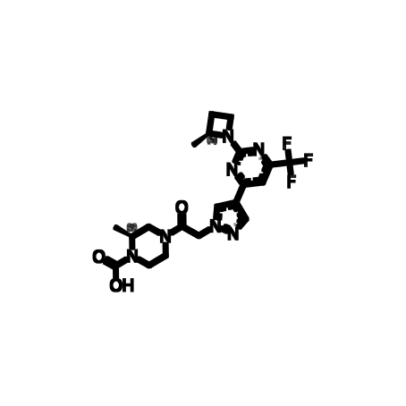 C[C@H]1CN(C(=O)Cn2cc(-c3cc(C(F)(F)F)nc(N4CC[C@@H]4C)n3)cn2)CCN1C(=O)O